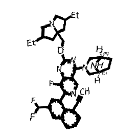 C#Cc1cccc2cc(C(F)F)cc(-c3ncc4c(N5C[C@H]6CC[C@@H](C5)N6)nc(OCC56CC(CC)CN5CC(CC)C6)nc4c3F)c12